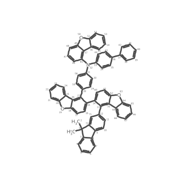 CC1(C)c2ccccc2-c2ccc(-c3c(-c4ccc5oc6ccccc6c5c4-c4ccc(N(c5ccc(-c6ccccc6)cc5)c5cccc6oc7ccccc7c56)cc4)ccc4oc5ccccc5c34)cc21